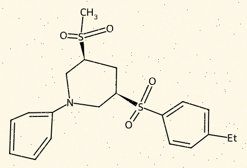 CCc1ccc(S(=O)(=O)[C@@H]2C[C@H](S(C)(=O)=O)CN(c3ccccc3)C2)cc1